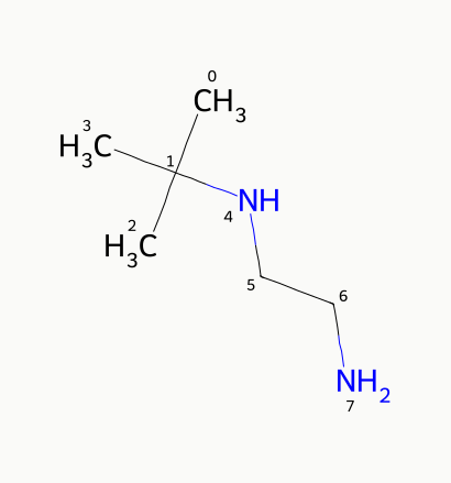 CC(C)(C)NCCN